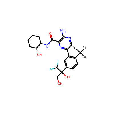 [2H]C([2H])([2H])c1ccc(C(O)(CO)C(F)F)cc1-c1cnc(N)c(C(=O)N[C@@H]2CCCC[C@H]2O)n1